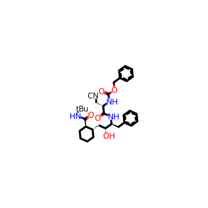 CC(C)(C)NC(=O)[C@@H]1CCCC[C@H]1C[C@@H](O)[C@H](Cc1ccccc1)NC(=O)[C@H](CC#N)NC(=O)OCc1ccccc1